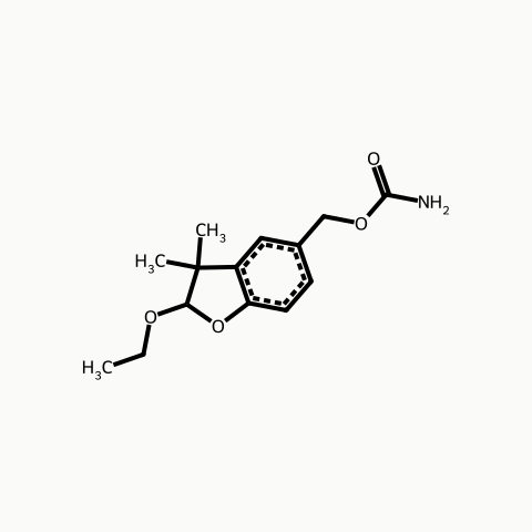 CCOC1Oc2ccc(COC(N)=O)cc2C1(C)C